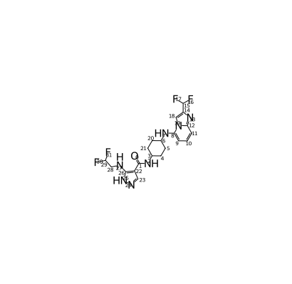 O=C(NC1CCC(Nc2cccc3nc(C(F)F)cn23)CC1)c1cn[nH]c1NCC(F)F